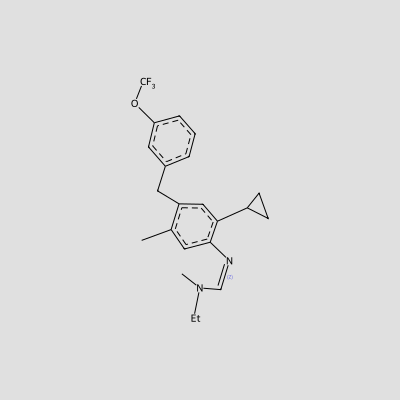 CCN(C)/C=N\c1cc(C)c(Cc2cccc(OC(F)(F)F)c2)cc1C1CC1